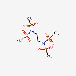 O=S(=O)(N(CCN(S(=O)(=O)C(F)(F)F)S(=O)(=O)C(F)(F)F)S(=O)(=O)C(F)(F)F)C(F)(F)F